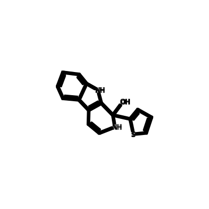 OC1(c2cccs2)NC=Cc2c1[nH]c1ccccc21